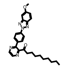 CCCCCCCCCC(=O)c1nccnc1-c1ccc(-n2nc3ccc(OC)cc3n2)cc1